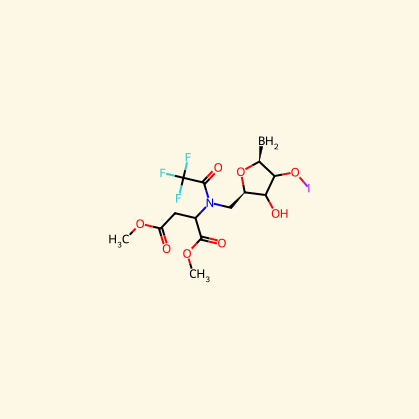 B[C@@H]1O[C@H](CN(C(=O)C(F)(F)F)C(CC(=O)OC)C(=O)OC)C(O)C1OI